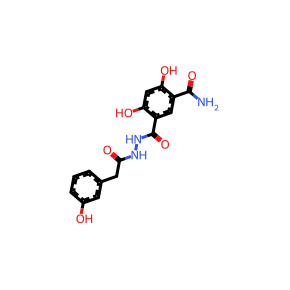 NC(=O)c1cc(C(=O)NNC(=O)Cc2cccc(O)c2)c(O)cc1O